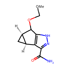 COCOC1c2[nH]nc(C(N)=O)c2[C@H]2C[C@@H]12